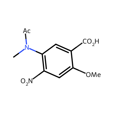 COc1cc([N+](=O)[O-])c(N(C)C(C)=O)cc1C(=O)O